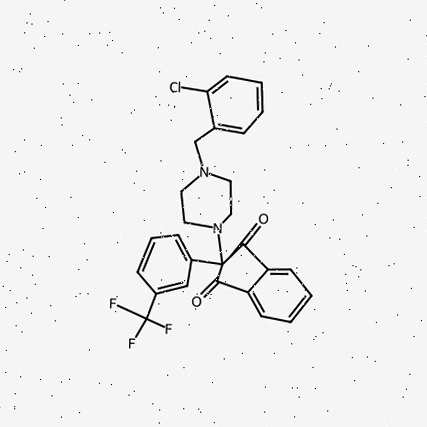 O=C1c2ccccc2C(=O)C1(c1cccc(C(F)(F)F)c1)N1CCN(Cc2ccccc2Cl)CC1